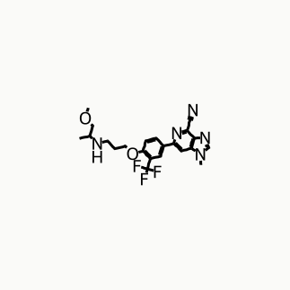 COCC(C)NCCCOc1ccc(-c2cc3c(ncn3C)c(C#N)n2)cc1C(F)(F)F